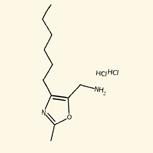 CCCCCCc1nc(C)oc1CN.Cl.Cl